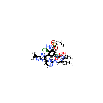 C[C@@H](CNc1nccc(-c2[nH]c(C3CC3)nc2-c2cc(Cl)cc(NS(C)(=O)=O)c2Cl)n1)N(C)C(=O)O